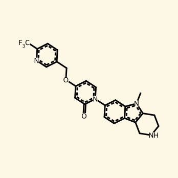 Cn1c2c(c3ccc(-n4ccc(OCc5ccc(C(F)(F)F)nc5)cc4=O)cc31)CNCC2